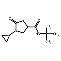 CC(C)(C)NC(=O)C1CC(=O)N(C2CC2)C1